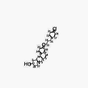 OC1CCN(Cc2ccc3cc(OCCCc4ccc(Cl)cc4)ccc3c2)CC1